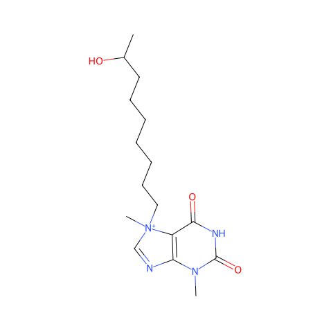 CC(O)CCCCCCC[N+]1(C)C=Nc2c1c(=O)[nH]c(=O)n2C